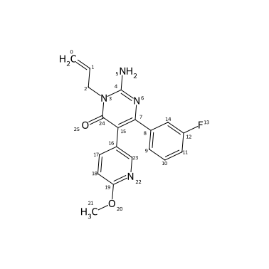 C=CCn1c(N)nc(-c2cccc(F)c2)c(-c2ccc(OC)nc2)c1=O